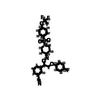 N#Cc1cccc(C(COc2ccc(F)cc2)ON=C2CCN(S(=O)(=O)c3ccc(OC(F)(F)F)cc3)CC2)c1